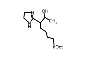 CCCCCCCCCCCCC(C1=NCCN1)C(C)O